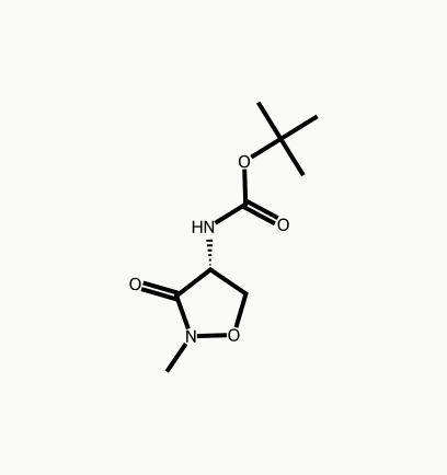 CN1OC[C@@H](NC(=O)OC(C)(C)C)C1=O